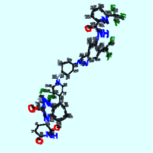 Cn1c(=O)n(C2CCC(=O)NC2=O)c2cccc(C3CCN(C[C@H]4CC[C@H](n5cc6cc(NC(=O)c7cccc(C(F)(F)F)n7)c(C(F)F)cc6n5)CC4)CC3(F)F)c21